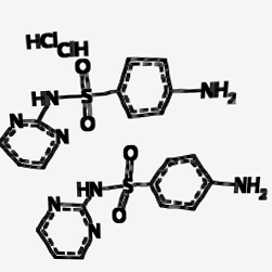 Cl.Cl.Nc1ccc(S(=O)(=O)Nc2ncccn2)cc1.Nc1ccc(S(=O)(=O)Nc2ncccn2)cc1